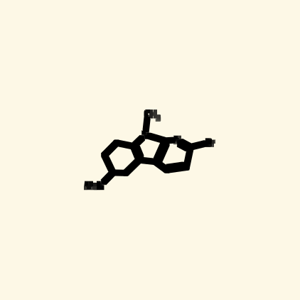 CNC1CCc2c(c3ccc(Br)nc3n2C)C1